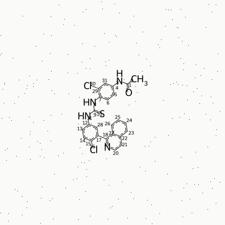 CC(=O)Nc1ccc(NC(=S)Nc2ccc(Cl)c(-c3nccc4ccccc34)c2)c(Cl)c1